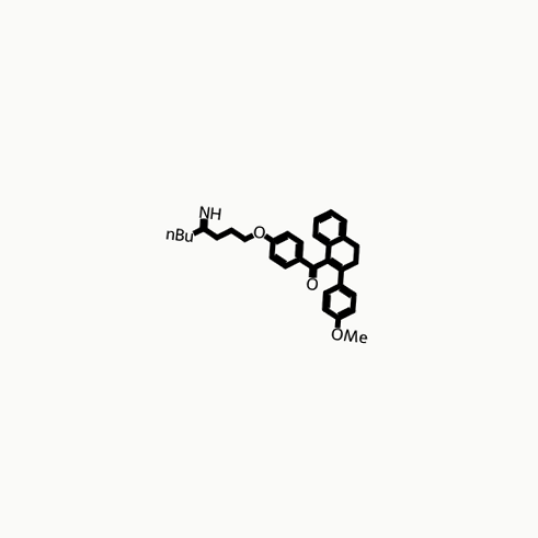 CCCCC(=N)CCCOc1ccc(C(=O)C2=C(c3ccc(OC)cc3)CCc3ccccc32)cc1